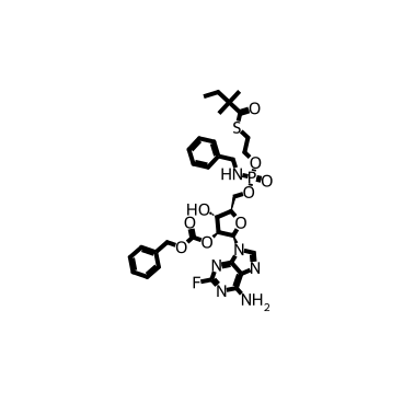 CCC(C)(C)C(=O)SCCOP(=O)(NCc1ccccc1)OC[C@H]1O[C@@H](n2cnc3c(N)nc(F)nc32)[C@@H](OC(=O)OCc2ccccc2)[C@@H]1O